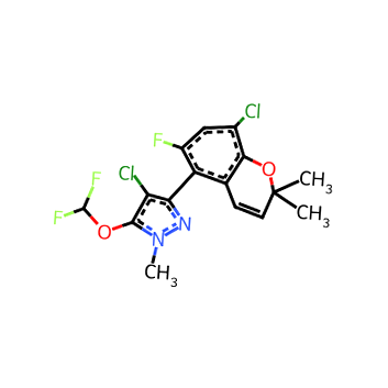 Cn1nc(-c2c(F)cc(Cl)c3c2C=CC(C)(C)O3)c(Cl)c1OC(F)F